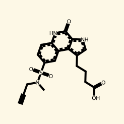 C#CCN(C)S(=O)(=O)c1ccc2[nH]c(=O)c3[nH]cc(CCCC(=O)O)c3c2c1